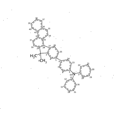 CC1(C)c2cc(-c3ccc(N(c4ccccc4)c4ccccc4)cc3)ccc2-c2c1ccc1c2ccc2ccccc21